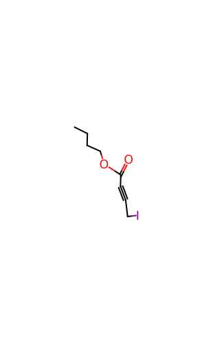 CCCCOC(=O)C#CCI